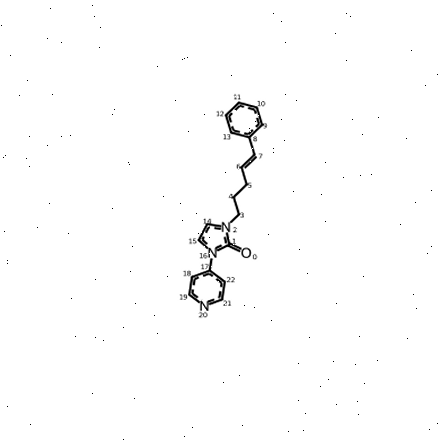 O=c1n(CCC/C=C/c2ccccc2)ccn1-c1ccncc1